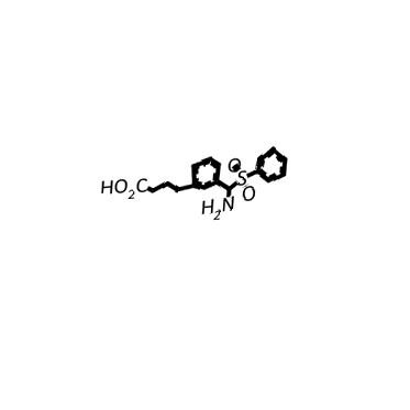 NC(c1cccc(CCCC(=O)O)c1)S(=O)(=O)c1ccccc1